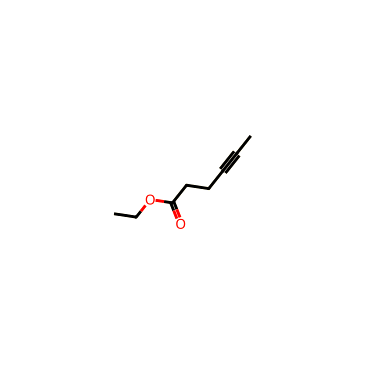 CC#CCCC(=O)OCC